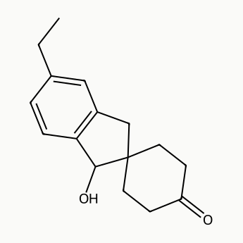 CCc1ccc2c(c1)CC1(CCC(=O)CC1)C2O